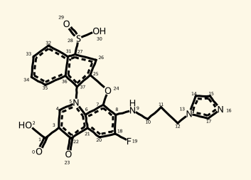 O=C(O)c1cn2c3c(c(NCCCn4ccnc4)c(F)cc3c1=O)Oc1cc(S(=O)O)c3ccccc3c1-2